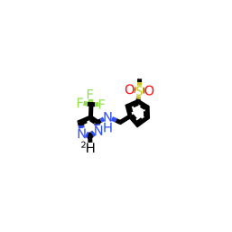 [2H]c1ncc(C(F)(F)F)c(NCc2cccc(S(C)(=O)=O)c2)n1